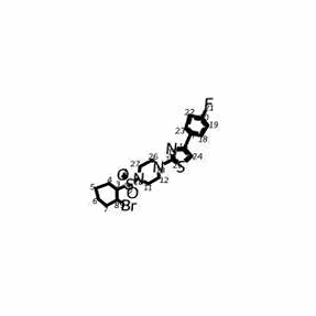 O=S(=O)(C1CCCCC1Br)N1CCN(c2nc(-c3ccc(F)cc3)cs2)CC1